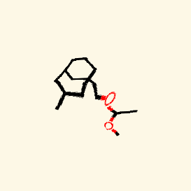 COC(C)OCC12CCCC(CC(C)C1)C2